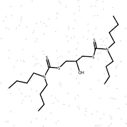 CCCCN(CCCC)C(=S)SCC(O)CSC(=S)N(CCCC)CCCC